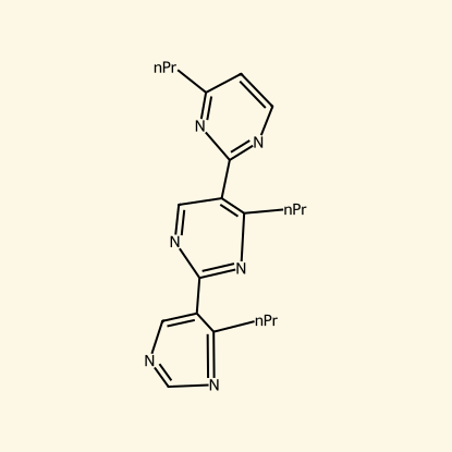 CCCc1ccnc(-c2cnc(-c3cncnc3CCC)nc2CCC)n1